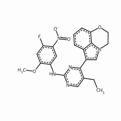 CCc1cnc(Nc2cc([N+](=O)[O-])c(F)cc2OC)nc1-c1cn2c3c(cccc13)OCC2